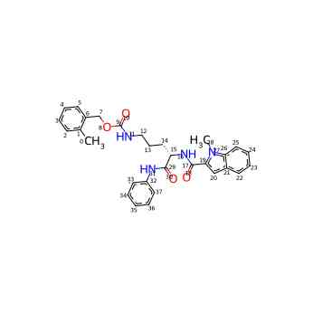 Cc1ccccc1COC(=O)NCCC[C@H](NC(=O)c1cc2ccccc2n1C)C(=O)Nc1[c]cccc1